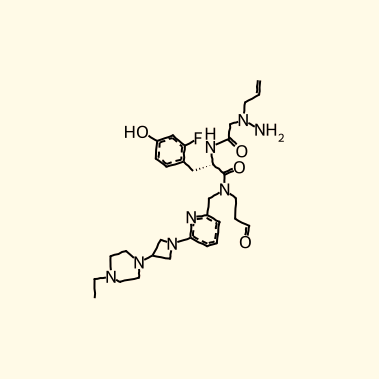 C=CCN(N)CC(=O)N[C@@H](Cc1ccc(O)cc1F)C(=O)N(CCC=O)Cc1cccc(N2CC(N3CCN(CC)CC3)C2)n1